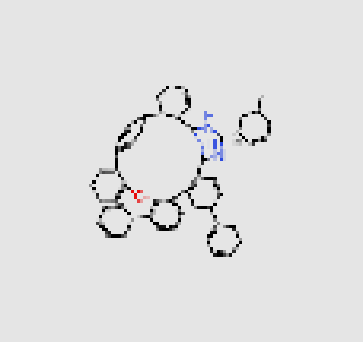 CC1CC=C[C@H](C2NC3NC(N2)C2C=CCCC2C2C=CC(=CC2)C2=CCCC=C2Oc2c(cccc2C2C=CC=CC2)C2=C3C=CC(C3=CC=CCC3)C2)C1